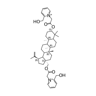 C=C(C)[C@@H]1CC[C@]2(COC(=O)C[n+]3ccccc3CO)CC[C@]3(C)C(CCC4[C@@]5(C)CC[C@H](OC(=O)C[n+]6ccccc6CO)C(C)(C)C5CC[C@]43C)C12